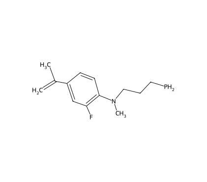 C=C(C)c1ccc(N(C)CCCP)c(F)c1